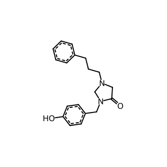 O=C1CN(CCCc2ccccc2)CN1Cc1ccc(O)cc1